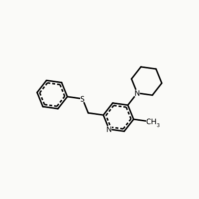 Cc1cnc(CSc2ccccc2)cc1N1CCCCC1